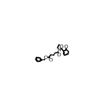 O=C(CCCC(=O)N1CCOC1C1=CC=CCC1=O)OCc1ccccc1